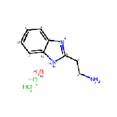 Cl.Cl.NCCc1nc2ccccc2[nH]1.O